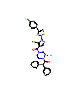 CCc1c(C(=O)N2CCN(C(=O)C(c3ccccc3)c3ccccc3)C(C)C2)cnn1-c1nc(-c2ccc(Cl)cc2)cs1